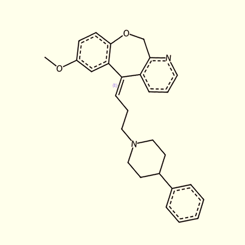 COc1ccc2c(c1)/C(=C/CCN1CCC(c3ccccc3)CC1)c1cccnc1CO2